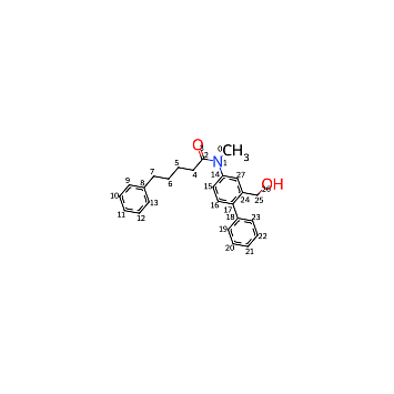 CN(C(=O)CCCCc1ccccc1)c1ccc(-c2ccccc2)c(CO)c1